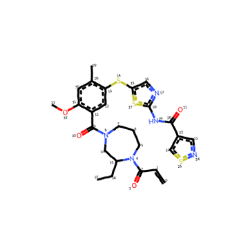 C=CC(=O)N1CCCN(C(=O)c2cc(Sc3cnc(NC(=O)c4cnsc4)s3)c(C)cc2OC)CC1CC